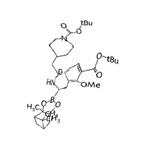 COc1c(C[C@H](NC(=O)CC2CCN(C(=O)OC(C)(C)C)CC2)B2OC3CC4CC(C4(C)C)C3(C)O2)cccc1C(=O)OC(C)(C)C